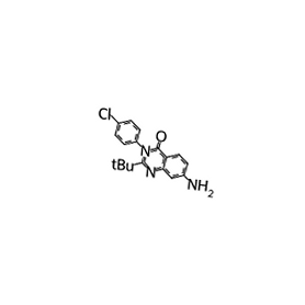 CC(C)(C)c1nc2cc(N)ccc2c(=O)n1-c1ccc(Cl)cc1